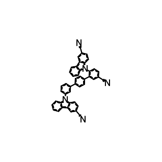 N#Cc1ccc(-n2c3ccccc3c3cc(C#N)ccc32)c(-c2ccc(-c3cccc(-n4c5ccccc5c5cc(C#N)ccc54)c3)cc2)c1